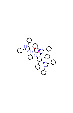 c1ccc(-c2cc(N3c4ccccc4N(c4cc(-c5ccccc5)c(-c5nc(-c6ccccc6)cc(-c6ccccc6)n5)c(-c5ccccc5)c4-c4nc(-c5ccccc5)nc(-c5ccccc5)n4)c4ccccc43)nc(-c3ccccc3)n2)cc1